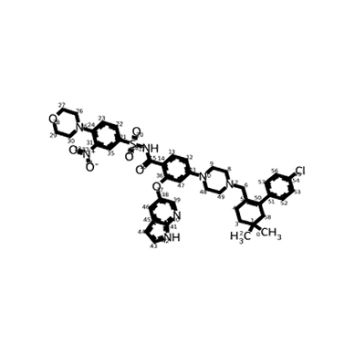 CC1(C)CCC(CN2CCN(c3ccc(C(=O)NS(=O)(=O)c4ccc(N5CCOCC5)c([N+](=O)[O-])c4)c(Oc4cnc5[nH]ccc5c4)c3)CC2)=C(c2ccc(Cl)cc2)C1